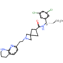 CCOC(=O)C[C@H](NC(=O)C1CC2(C1)CN(CCc1ccc3c(n1)NCCC3)C2)c1cc(Cl)cc(Cl)c1